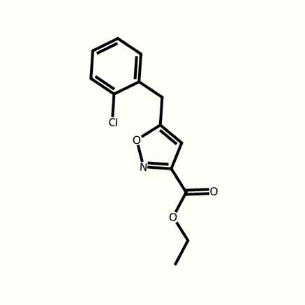 CCOC(=O)c1cc(Cc2ccccc2Cl)on1